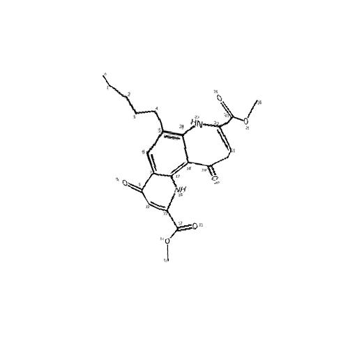 CCCCCc1cc2c(=O)cc(C(=O)OC)[nH]c2c2c(=O)cc(C(=O)OC)[nH]c12